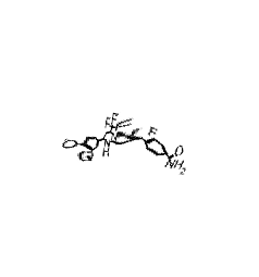 COc1ccc(C2CC(C(F)(F)F)n3nc(-c4ccc(C(N)=O)cc4F)cc3N2)cc1OC